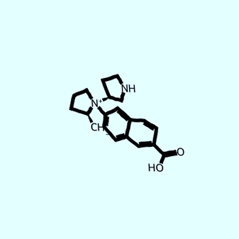 C[C@H]1CCC[N+]1(c1ccc2cc(C(=O)O)ccc2c1)[C@H]1CCNC1